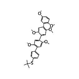 COc1ccc(OC)c(-c2cc(OC)c(-c3cc(OC)c(-c4ccc(SC(C)(C)C)cc4)cc3OC)cc2OC)c1